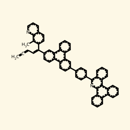 C=C=C/C=C(/c1ccc2c3ccc(-c4ccc(-c5nc6c7ccccc7c7ccccc7c6c6ccccc56)cc4)cc3c3ccccc3c2c1)c1ccc2cccnc2c1C